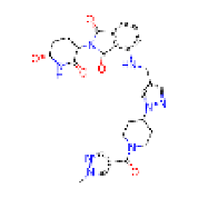 Cn1cc(C(=O)N2CCC(n3cc(CNc4cccc5c4C(=O)N(C4CCC(=O)NC4=O)C5=O)cn3)CC2)cn1